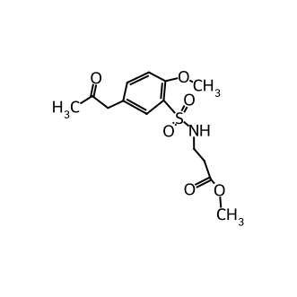 COC(=O)CCNS(=O)(=O)c1cc(CC(C)=O)ccc1OC